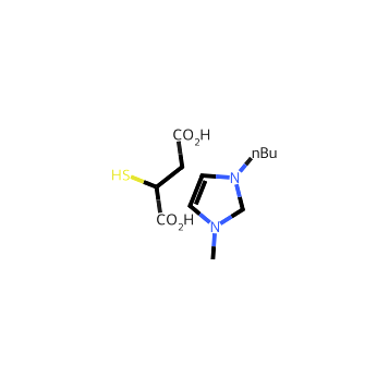 CCCCN1C=CN(C)C1.O=C(O)CC(S)C(=O)O